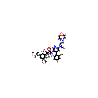 Cc1ccccc1-c1cc(N(C)CCN2CCOCC2)ncc1N(C)C(=O)C(C)(C)c1cc(C(F)(F)F)cc(C(F)(F)F)c1